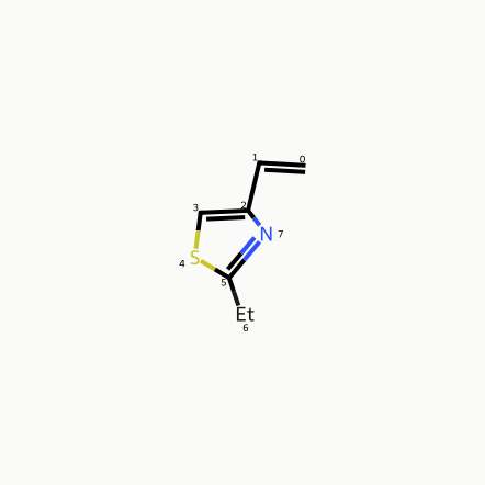 C=Cc1csc(CC)n1